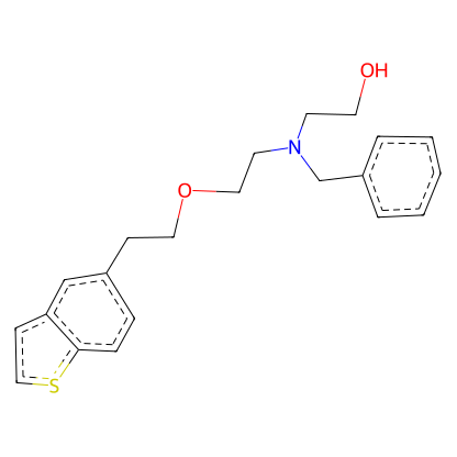 OCCN(CCOCCc1ccc2sccc2c1)Cc1ccccc1